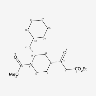 CCOC(=O)CC(=O)[C@@H]1CCN(C(=O)OC)[C@H](CC2CCCCC2)C1